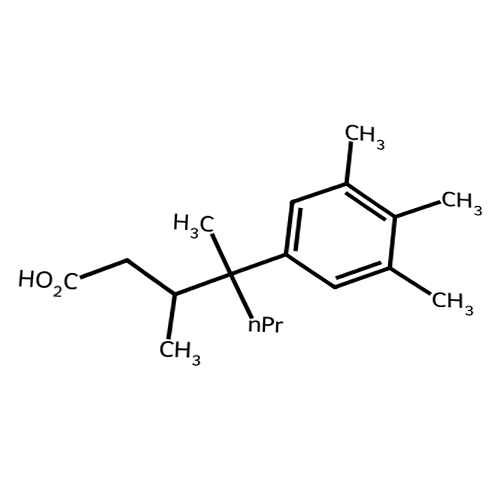 CCCC(C)(c1cc(C)c(C)c(C)c1)C(C)CC(=O)O